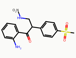 CS(=O)(=O)c1ccc(C(CN[N+](=O)[O-])C(=O)c2ccccc2N)cc1